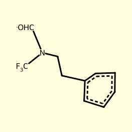 O=[C]N(CCc1ccccc1)C(F)(F)F